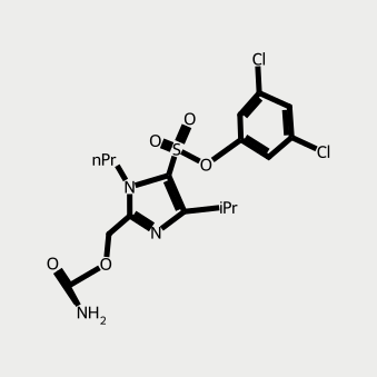 CCCn1c(COC(N)=O)nc(C(C)C)c1S(=O)(=O)Oc1cc(Cl)cc(Cl)c1